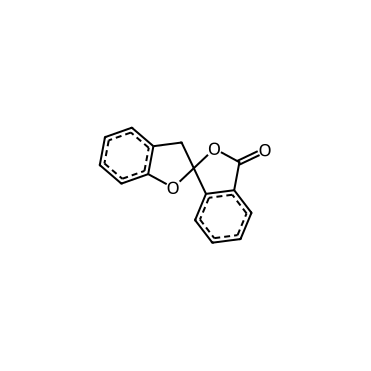 O=C1OC2(Cc3ccccc3O2)c2ccccc21